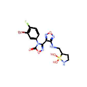 O=c1onc(-c2nonc2NCC2CCNS2(O)O)n1-c1ccc(F)c(Br)c1